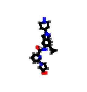 O=C(Nc1cc2cn(C3CCNCC3)nc2cc1C1CC1)c1cccc(N2CCC(O)C2)n1